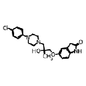 CC(O)(COc1ccc2c(c1)CC(=O)N2)CN1CCN(c2ccc(Cl)cc2)CC1